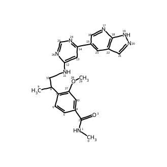 CNC(=O)c1ccc(C(C)CNc2cc(-c3cnc4[nH]ncc4c3)ncn2)c(OC)c1